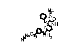 [N-]=[N+]=NCOC(=O)c1cccc(N(N)c2ccc3c(n2)N(Cc2ccccc2)[C@H](CN=[N+]=[N-])C(=O)N3)c1